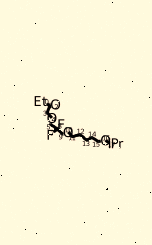 CCC(=O)COCC(F)(F)COCCCCCOC(C)C